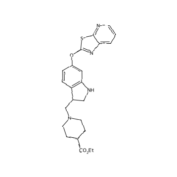 CCOC(=O)C1CCN(CC2CNc3cc(Oc4nc5cccnc5s4)ccc32)CC1